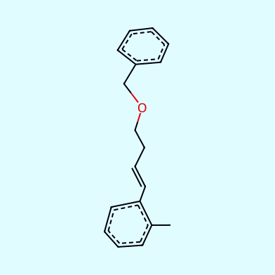 Cc1ccccc1C=CCCOCc1ccccc1